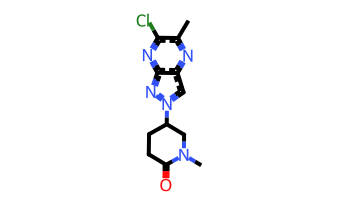 Cc1nc2cn(C3CCC(=O)N(C)C3)nc2nc1Cl